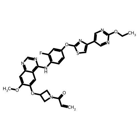 C=CC(=O)N1CC(Oc2cc3c(Nc4ccc(Oc5nc(-c6cnc(OCC)nc6)cs5)cc4F)ncnc3cc2OC)C1